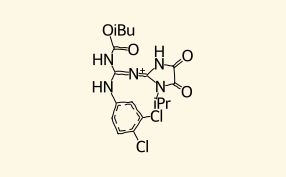 CC(C)COC(=O)NC(=[N+]=C1NC(=O)C(=O)N1C(C)C)Nc1ccc(Cl)c(Cl)c1